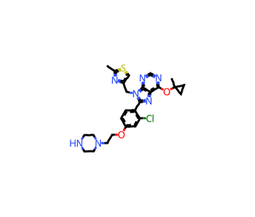 Cc1nc(Cn2c(-c3ccc(OCCN4CCNCC4)cc3Cl)nc3c(OC4(C)CC4)ncnc32)cs1